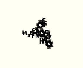 CC(F)(F)c1nc2cc(C(=O)Nc3ccccc3)c(Cl)cn2c1CC1CCC(F)(F)CC1